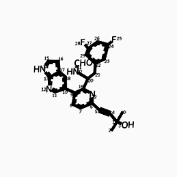 CC(C)(O)C#Cc1ccc(-c2cnc3[nH]ccc3c2)c(C(Cc2cc(F)cc(F)c2)NC=O)n1